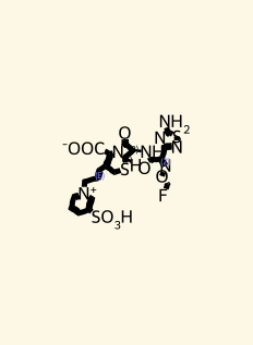 Nc1nc(/C(=N/OCF)C(=O)N[C@@H]2C(=O)N3C(C(=O)[O-])=C(/C=C/C[n+]4cccc(S(=O)(=O)O)c4)CS[C@@H]23)ns1